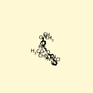 CC(C)OC[C@H](CNc1ccc(C(=O)N(C)C)cn1)Oc1ncnc2c1cnn2-c1ncccc1Cl